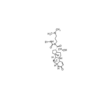 CCNC(=O)N(CCCN(C)C)C(=O)[C@H]1CC[C@H]2[C@@H]3CC[C@H]4NC(=O)C=C[C@]4(C)[C@H]3CC[C@]12C.Cl